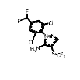 Nc1c(SC(F)(F)F)cnn1-c1c(Cl)cc(C(F)F)cc1Cl